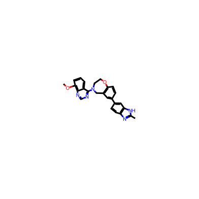 COc1cccc2c(N3CCOc4ccc(-c5ccc6nc(C)[nH]c6c5)cc4C3)ncnc12